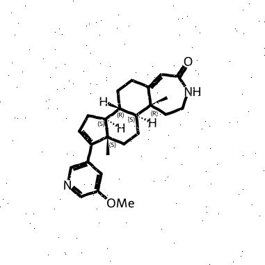 COc1cncc(C2=CC[C@H]3[C@@H]4CCC5=CC(=O)NCC[C@]5(C)[C@H]4CC[C@]23C)c1